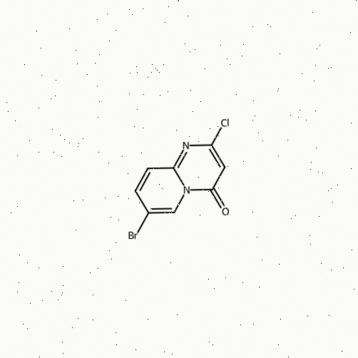 O=c1cc(Cl)nc2ccc(Br)cn12